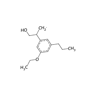 [CH2]C(CO)c1cc(CCC)cc(OCC)c1